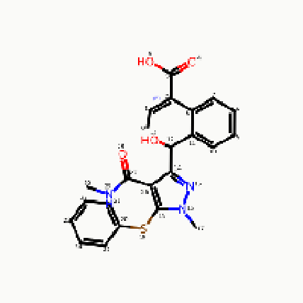 C/C=C(/C(=O)O)c1ccccc1C(O)c1nn(C)c(Sc2ccccc2)c1C(=O)NC